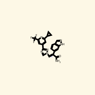 NC(=O)/C(=C/n1cnc(-c2cc(C3CC3)nc(C(F)(F)F)c2)n1)c1ccc2cn[nH]c2c1